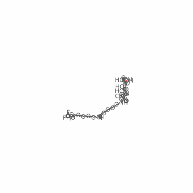 O=C(CCOCCOCCOCCOCCn1cc(COCCOCCOCCOCCNC(=O)[C@H]2CCCCN2c2nc(Cl)nc3c2cnn3[C@@H]2O[C@H](COP(=O)(O)CP(=O)(O)O)[C@@H](O)[C@H]2O)nn1)Oc1c(F)cc(F)cc1F